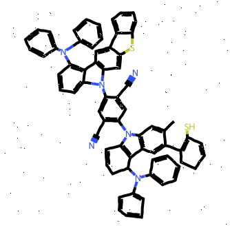 Cc1cc2c(cc1C1=C(S)C=CCC1)c1c(n2-c2cc(C#N)c(-n3c4cc5sc6ccccc6c5cc4c4c(N(c5ccccc5)c5ccccc5)cccc43)cc2C#N)C=CCC1N(c1ccccc1)c1ccccc1